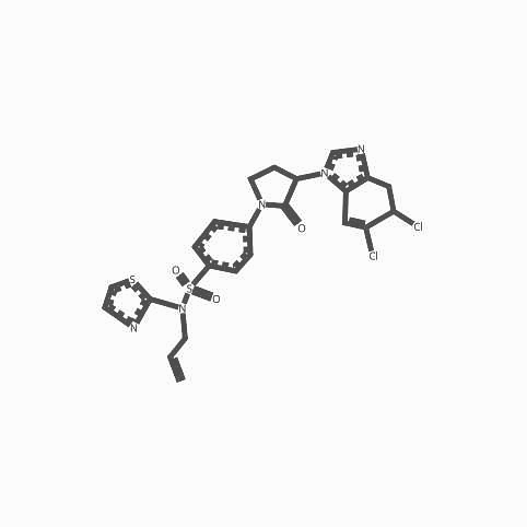 C=CCN(c1nccs1)S(=O)(=O)c1ccc(N2CCC(n3cnc4c3C=C(Cl)C(Cl)C4)C2=O)cc1